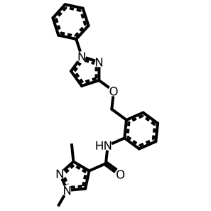 Cc1nn(C)cc1C(=O)Nc1ccccc1COc1ccn(-c2ccccc2)n1